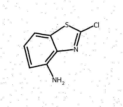 Nc1cccc2sc(Cl)nc12